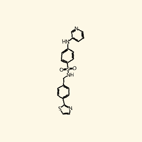 O=S(=O)(NCc1ccc(-c2nccs2)cc1)c1ccc(Nc2cccnc2)cc1